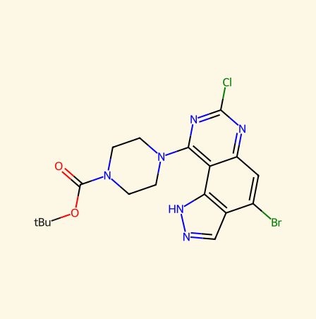 CC(C)(C)OC(=O)N1CCN(c2nc(Cl)nc3cc(Br)c4cn[nH]c4c23)CC1